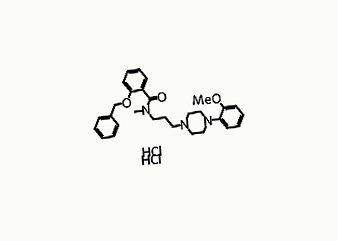 COc1ccccc1N1CCN(CCCN(C)C(=O)c2ccccc2OCc2ccccc2)CC1.Cl.Cl